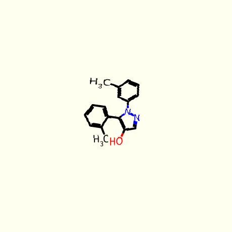 Cc1cccc(-n2ncc(O)c2-c2ccccc2C)c1